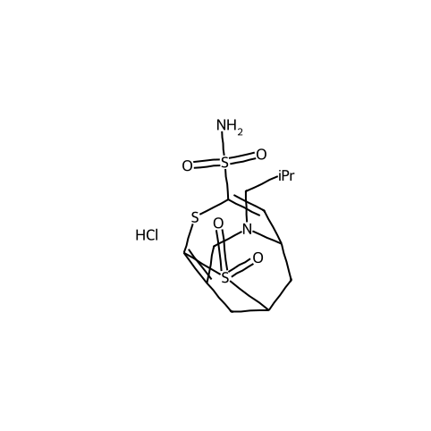 CC(C)CN1CC2=C3SC(S(N)(=O)=O)=CC1CC(C2)S3(=O)=O.Cl